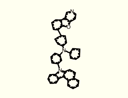 c1ccc(N(c2ccc(-c3cccc4c3oc3ccncc34)cc2)c2cccc(-n3c4ccccc4c4c5ccccc5ccc43)c2)cc1